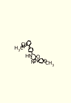 COc1ccc(-n2cnc3c2C(=O)CC(c2ccc(-c4ccccc4CN(C)C)cc2)NC3)cc1